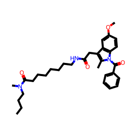 CCCCN(C)C(=O)CCCCCCCNC(=O)Cc1c(C)n(C(=O)c2ccccc2)c2ccc(OC)cc12